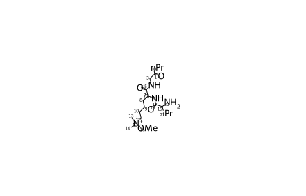 CCCC(=O)CNC(=O)[C@H](CCCC[N+](C)(C)OC)NC(=O)C(N)C(C)C